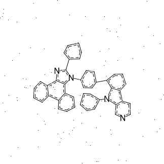 c1ccc(-c2nc3c4ccccc4c4ccccc4c3n2-c2ccc(-c3cccc4c5ccncc5n(-c5ccccc5)c34)cc2)cc1